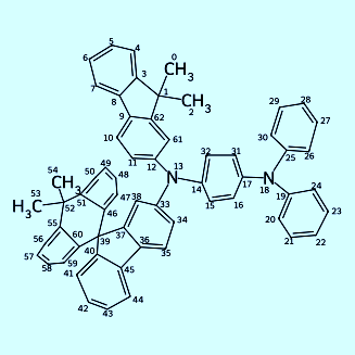 CC1(C)c2ccccc2-c2ccc(N(c3ccc(N(c4ccccc4)c4ccccc4)cc3)c3ccc4c(c3)C3(c5ccccc5-4)c4ccccc4C(C)(C)c4ccccc43)cc21